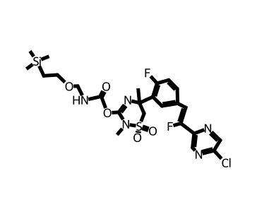 CN1C(OC(=O)NCOCC[Si](C)(C)C)=NC(C)(c2cc(C=C(F)c3cnc(Cl)cn3)ccc2F)CS1(=O)=O